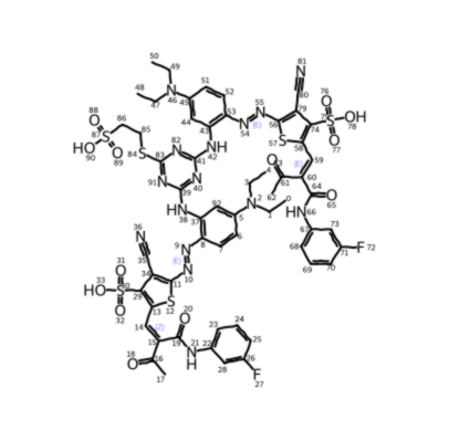 CCN(CC)c1ccc(/N=N/c2sc(/C=C(/C(C)=O)C(=O)Nc3cccc(F)c3)c(S(=O)(=O)O)c2C#N)c(Nc2nc(Nc3cc(N(CC)CC)ccc3/N=N/c3sc(/C=C(\C(C)=O)C(=O)Nc4cccc(F)c4)c(S(=O)(=O)O)c3C#N)nc(SCCS(=O)(=O)O)n2)c1